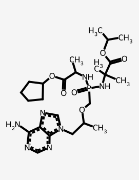 CC(C)OC(=O)C(C)(C)NP(=O)(COC(C)Cn1cnc2c(N)ncnc21)NC(C)C(=O)OC1CCCC1